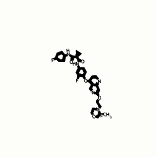 C[C@H]1COCCN1CCOc1cc2nccc(Oc3ccc(NC(=O)C4(C(=O)Nc5ccc(F)cc5)CC4)cc3F)c2cn1